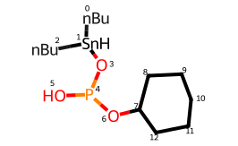 CCC[CH2][SnH]([CH2]CCC)[O]P(O)OC1CCCCC1